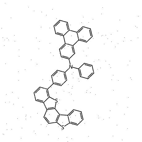 c1ccc(N(c2ccc(-c3cccc4c3sc3c4ccc4sc5ccccc5c43)cc2)c2ccc3c4ccccc4c4ccccc4c3c2)cc1